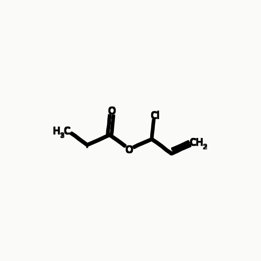 C=CC(Cl)OC(=O)[CH]C